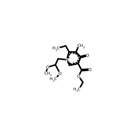 CCOC(=O)c1cn(CC(OC)OC)c(CC)c(C)c1=O